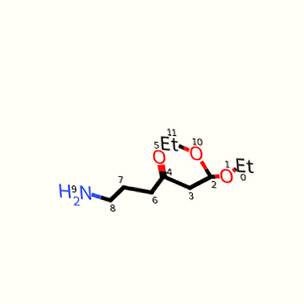 CCOC(CC(=O)CCCN)OCC